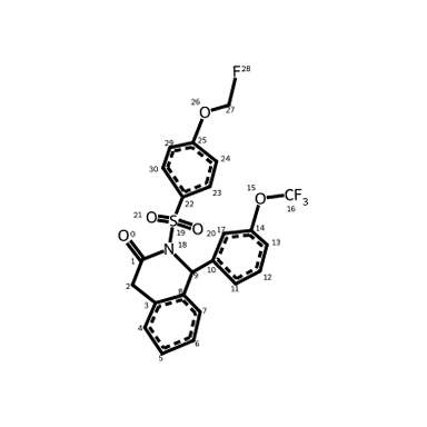 O=C1Cc2ccccc2C(c2cccc(OC(F)(F)F)c2)N1S(=O)(=O)c1ccc(OCF)cc1